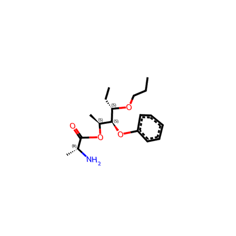 CCCO[C@@H](CC)[C@@H](Oc1ccccc1)[C@H](C)OC(=O)[C@@H](C)N